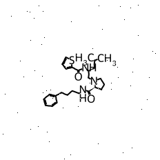 CC(C)C[C@@H](CN1CCC[C@H]1C(=O)NCCCCc1ccccc1)NC(=O)c1cccs1